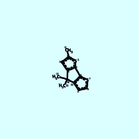 Cc1cc2c(s1)-c1sccc1C2(C)C